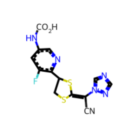 N#CC(=C1SCC(c2ncc(NC(=O)O)cc2F)S1)n1cncn1